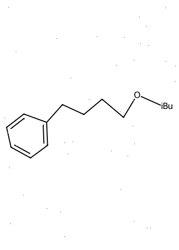 [CH2]CC(C)OCCCCc1ccccc1